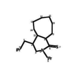 CC(C)CC1CN(C(C)C)C(=S)C2CCCCCCC12